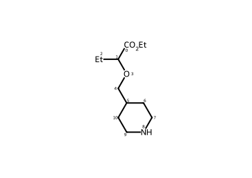 CCOC(=O)C(CC)OCC1CCNCC1